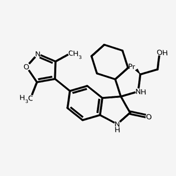 Cc1noc(C)c1-c1ccc2c(c1)C(N[C@H](CO)C(C)C)(C1CCCCC1)C(=O)N2